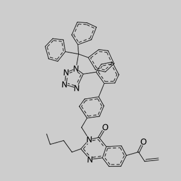 C=CC(=O)c1ccc2nc(CCCC)n(Cc3ccc(-c4ccccc4-c4nnnn4C(c4ccccc4)(c4ccccc4)c4ccccc4)cc3)c(=O)c2c1